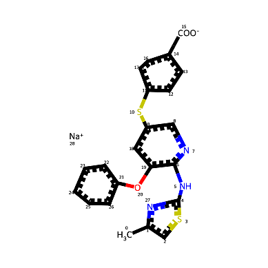 Cc1csc(Nc2ncc(Sc3ccc(C(=O)[O-])cc3)cc2Oc2ccccc2)n1.[Na+]